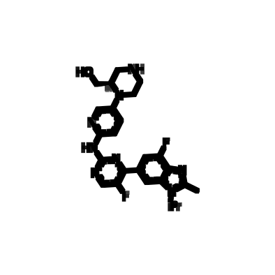 Cc1nc2c(F)cc(-c3nc(Nc4ccc(N5CCNC[C@@H]5CO)cn4)ncc3F)cc2n1C(C)C